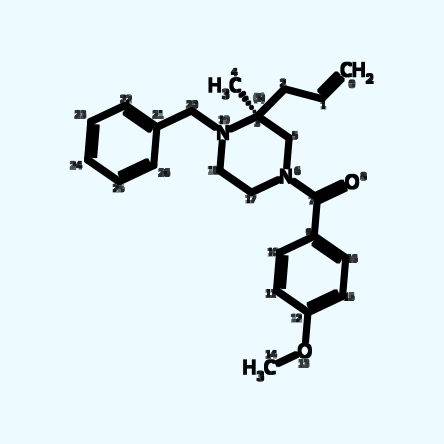 C=CC[C@@]1(C)CN(C(=O)c2ccc(OC)cc2)CCN1Cc1ccccc1